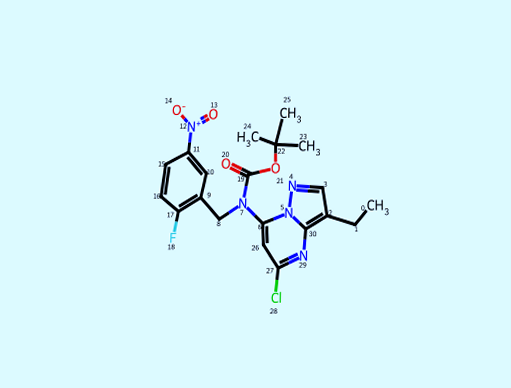 CCc1cnn2c(N(Cc3cc([N+](=O)[O-])ccc3F)C(=O)OC(C)(C)C)cc(Cl)nc12